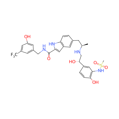 C[C@H](Cc1ccc2[nH]c(C(=O)NCc3cc(O)cc(C(F)(F)F)c3)cc2c1)NC[C@@H](O)c1ccc(O)c(NS(C)(=O)=O)c1